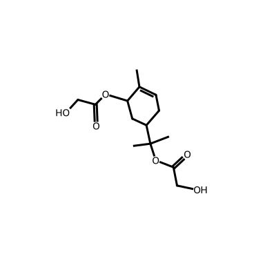 CC1=CCC(C(C)(C)OC(=O)CO)CC1OC(=O)CO